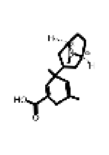 CC1=CC(C)(C2C[C@H]3CC[C@@H](C2)N3C)C=C(C(=O)O)C1